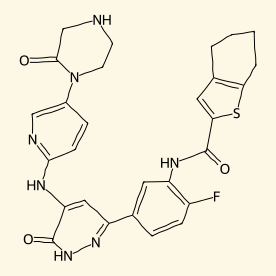 O=C(Nc1cc(-c2cc(Nc3ccc(N4CCNCC4=O)cn3)c(=O)[nH]n2)ccc1F)c1cc2c(s1)CCCC2